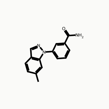 Cc1ccc2cnn(-c3cccc(C(N)=O)c3)c2c1